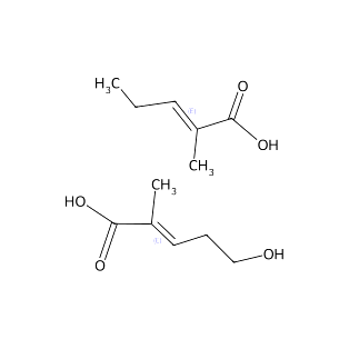 C/C(=C\CCO)C(=O)O.CC/C=C(\C)C(=O)O